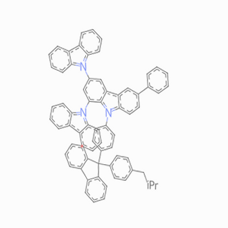 CC(C)Cc1ccc(C2(c3ccc(-n4c5ccc(-c6ccccc6)cc5c5cc(-n6c7ccccc7c7ccccc76)cc(-n6c7ccccc7c7ccccc76)c54)cc3)c3ccccc3-c3ccccc32)cc1